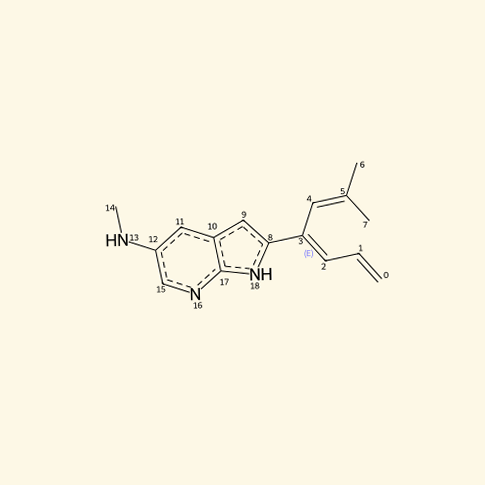 C=C/C=C(\C=C(C)C)c1cc2cc(NC)cnc2[nH]1